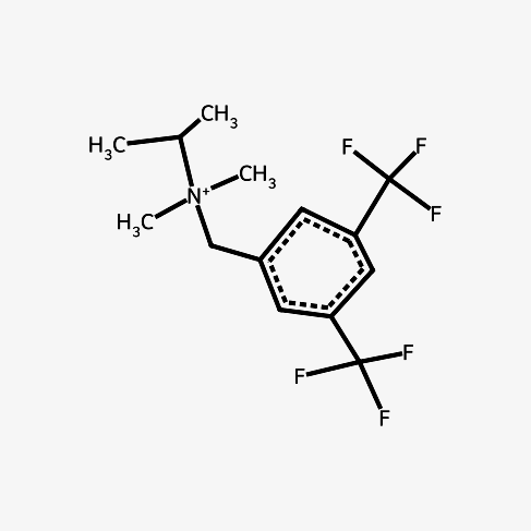 CC(C)[N+](C)(C)Cc1cc(C(F)(F)F)cc(C(F)(F)F)c1